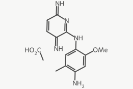 CC(=O)O.COc1cc(N)c(C)cc1NC1=NC(=N)C=CC1=N